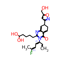 C=C/C(=C\C=C(/C)F)n1c(CCCCC(O)O)nc2c(c1=O)=CCC(c1cc(CO)on1)C=2